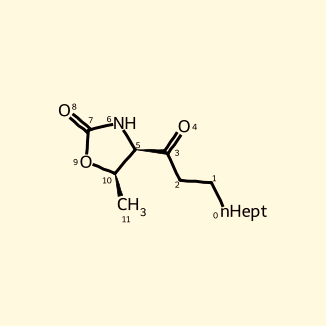 CCCCCCCCCC(=O)[C@@H]1NC(=O)O[C@@H]1C